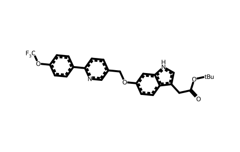 CC(C)(C)OC(=O)Cc1c[nH]c2cc(OCc3ccc(-c4ccc(OC(F)(F)F)cc4)nc3)ccc12